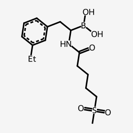 CCc1cccc(CC(NC(=O)CCCCS(C)(=O)=O)B(O)O)c1